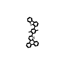 Cc1cc(-c2cccc3c2sc2ccccc23)c(C)cc1-c1ccc2c3ccccc3c3ccccc3c2n1